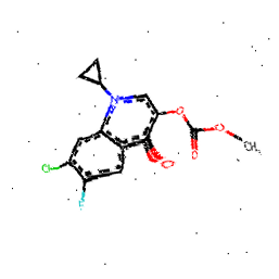 COC(=O)Oc1cn(C2CC2)c2cc(Cl)c(F)cc2c1=O